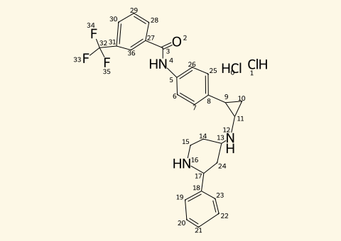 Cl.Cl.O=C(Nc1ccc(C2CC2NC2CCNC(c3ccccc3)C2)cc1)c1cccc(C(F)(F)F)c1